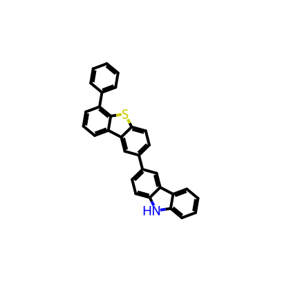 c1ccc(-c2cccc3c2sc2ccc(-c4ccc5[nH]c6ccccc6c5c4)cc23)cc1